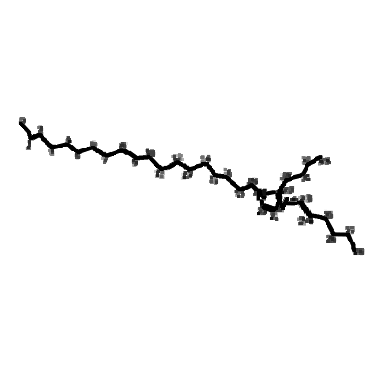 CCCCCCCCCCCCCCCCCCCn1cc[n+](CCCCCC)c1CCCC